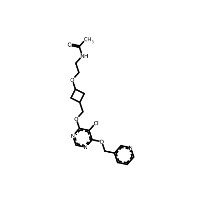 CC(=O)NCCOC1CC(COc2ncnc(OCc3cccnc3)c2Cl)C1